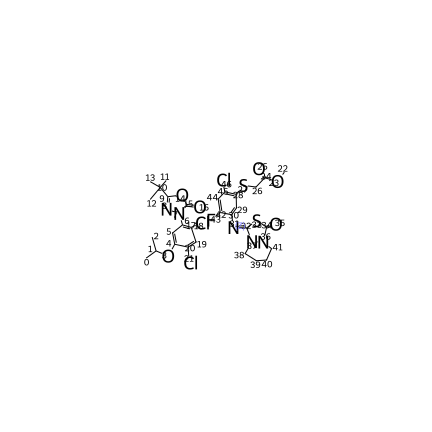 CC(C)Oc1cc(-n2nc(C(C)(C)C)oc2=O)c(Cl)cc1Cl.COC(=O)CSc1cc(/N=c2\sc(=O)n3n2CCCC3)c(F)cc1Cl